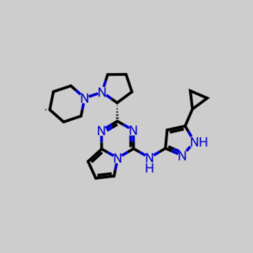 [CH]1CCN(N2CCC[C@@H]2c2nc(Nc3cc(C4CC4)[nH]n3)n3cccc3n2)CC1